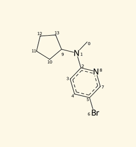 CN(c1ccc(Br)cn1)C1CCCC1